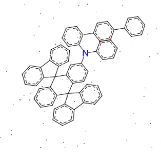 c1ccc(-c2ccc(-c3ccccc3N(c3ccccc3)c3ccc4c(c3)C3(c5ccccc5-c5ccccc53)c3ccccc3C43c4ccccc4-c4ccccc43)cc2)cc1